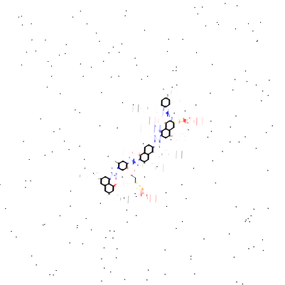 Cc1cc(N=Nc2c(S(=O)(=O)O)cc3c(S(=O)(=O)O)c(N=Nc4cc(S(=O)(=O)O)c5cc(SOOO)c(N=Nc6ccc([N+](=O)[O-])cc6S(=O)(=O)O)c(O)c5c4N)ccc3c2O)c(OCCCSOOO)cc1N=Nc1cc(S(=O)(=O)O)cc2cc(S(=O)(=O)O)cc(O)c12